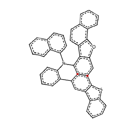 c1ccc(N(c2cccc3ccccc23)c2cccc3oc4c5ccccc5ccc4c23)c(-c2ccc3sc4ccccc4c3c2)c1